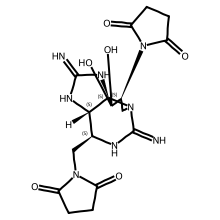 N=C1N[C@H]2[C@H](CN3C(=O)CCC3=O)NC(=N)N3C[C@H](N4C(=O)CCC4=O)C(O)(O)[C@]23N1